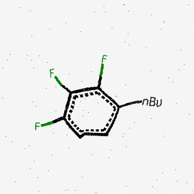 [CH2]CCCc1ccc(F)c(F)c1F